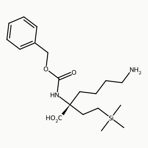 C[Si](C)(C)CC[C@@](CCCCN)(NC(=O)OCc1ccccc1)C(=O)O